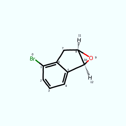 Brc1cccc2c1C[C@H]1O[C@@H]21